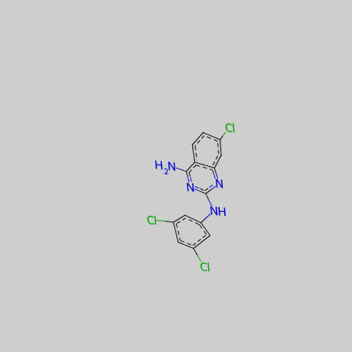 Nc1nc(Nc2cc(Cl)cc(Cl)c2)nc2cc(Cl)ccc12